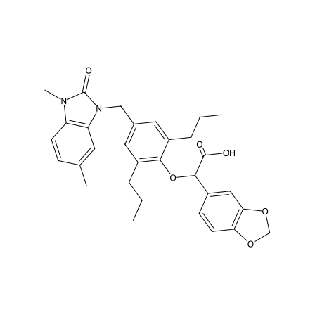 CCCc1cc(Cn2c(=O)n(C)c3ccc(C)cc32)cc(CCC)c1OC(C(=O)O)c1ccc2c(c1)OCO2